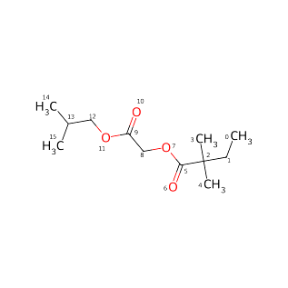 CCC(C)(C)C(=O)OCC(=O)OCC(C)C